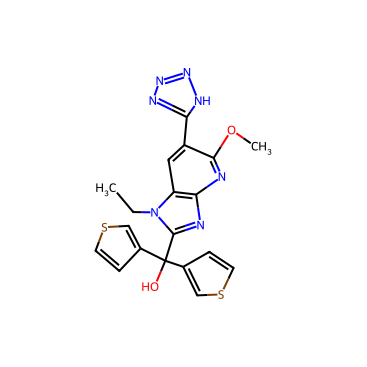 CCn1c(C(O)(c2ccsc2)c2ccsc2)nc2nc(OC)c(-c3nnn[nH]3)cc21